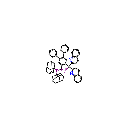 PC(c1ccc2ccccc2n1)(c1ccc2ccccc2n1)c1cc(-c2ccccc2)c(-c2ccccc2)cc1CP(C12CC3CC(CC(C3)C1)C2)C12CC3CC(CC(C3)C1)C2